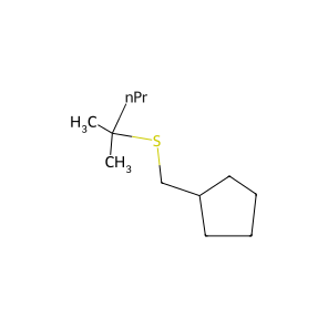 CCCC(C)(C)SCC1CCCC1